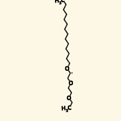 CCCCCCCCCCCCCCO[CH]COCCOCC